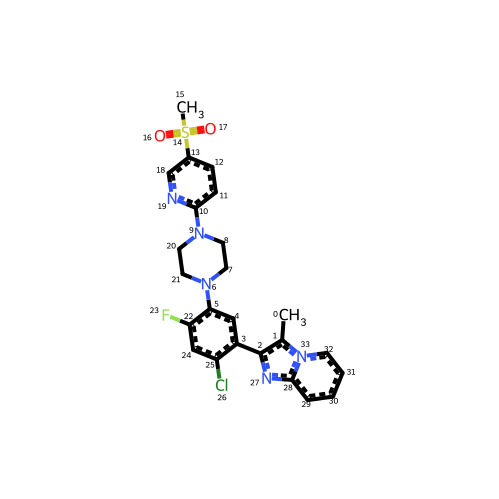 Cc1c(-c2cc(N3CCN(c4ccc(S(C)(=O)=O)cn4)CC3)c(F)cc2Cl)nc2ccccn12